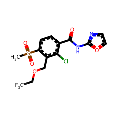 CS(=O)(=O)c1ccc(C(=O)Nc2ncco2)c(Cl)c1COCC(F)(F)F